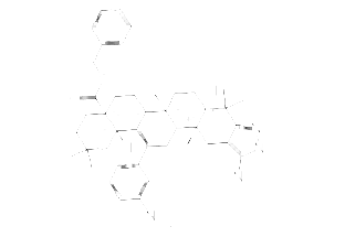 CC1(C)CC[C@]2(C(=O)OCc3ccccc3)CC[C@]3(C)C(=C(c4cccc(N)c4)CC4[C@@]5(C)Cc6c(n[nH]c6N)C(C)(C)[C@@H]5CC[C@]43C)[C@@H]2C1